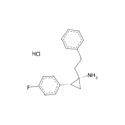 Cl.N[C@]1(CCc2ccccc2)C[C@@H]1c1ccc(F)cc1